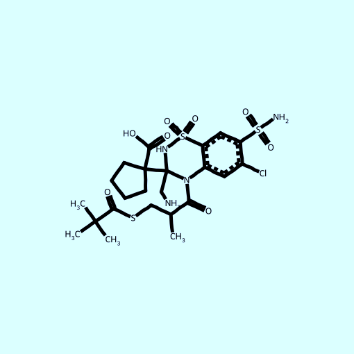 CC(CSC(=O)C(C)(C)C)C(=O)N1c2cc(Cl)c(S(N)(=O)=O)cc2S(=O)(=O)NC1(CN)C1(C(=O)O)CCCC1